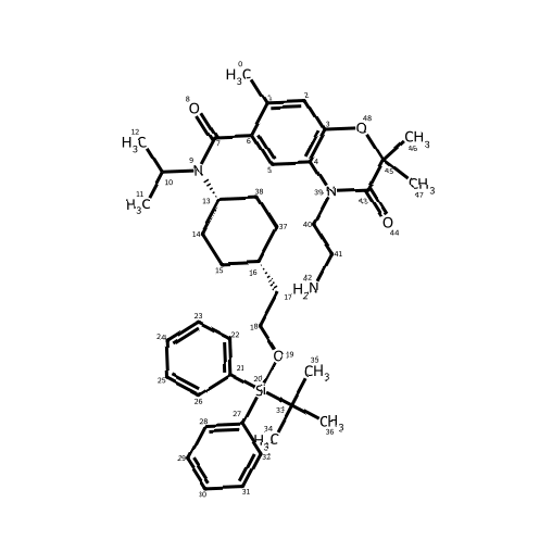 Cc1cc2c(cc1C(=O)N(C(C)C)[C@H]1CC[C@@H](CCO[Si](c3ccccc3)(c3ccccc3)C(C)(C)C)CC1)N(CCN)C(=O)C(C)(C)O2